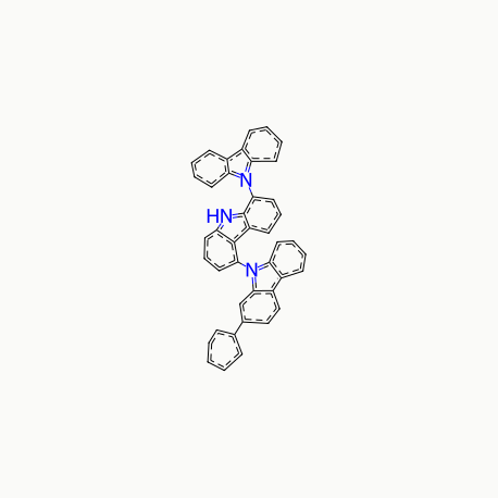 c1ccc(-c2ccc3c4ccccc4n(-c4cccc5[nH]c6c(-n7c8ccccc8c8ccccc87)cccc6c45)c3c2)cc1